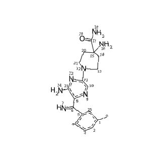 Cc1cccc(C(=N)c2ncc(N3CCC(N)(C(N)=O)CC3)nc2N)c1